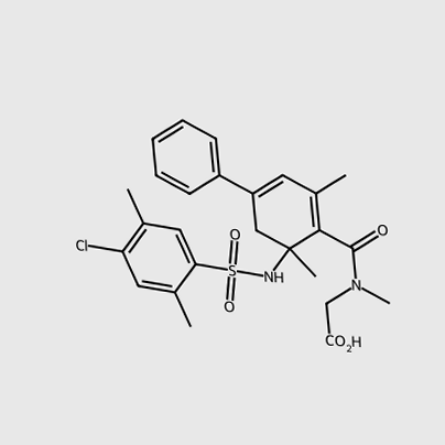 CC1=C(C(=O)N(C)CC(=O)O)C(C)(NS(=O)(=O)c2cc(C)c(Cl)cc2C)CC(c2ccccc2)=C1